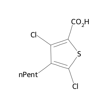 CCCCCc1c(Cl)sc(C(=O)O)c1Cl